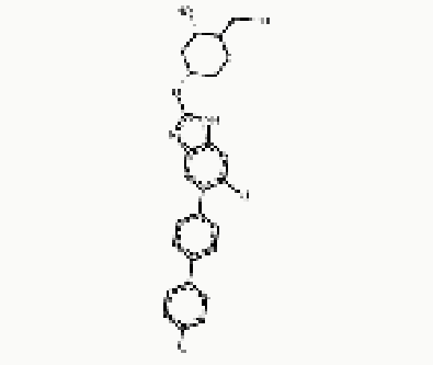 CCc1ccc(-c2ccc(-c3cc4nc(O[C@H]5CO[C@H](CO)[C@@H](O)C5)[nH]c4cc3Cl)cc2)cc1